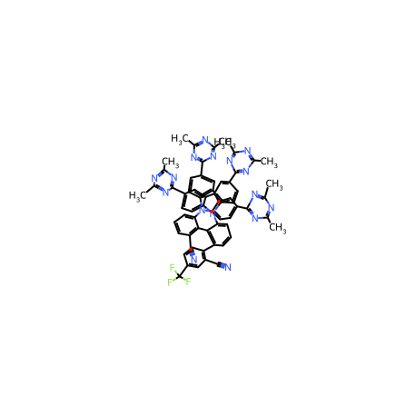 Cc1nc(C)nc(-c2ccc3c(c2)c2cc(-c4nc(C)nc(C)n4)ccc2n3-c2cccc(C#N)c2-c2c(-c3ccc(C(F)(F)F)cc3C#N)cccc2-n2c3ccc(-c4nc(C)nc(C)n4)cc3c3cc(-c4nc(C)nc(C)n4)ccc32)n1